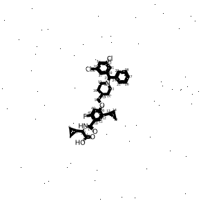 O=C(N[C@H](C(=O)O)C1CC1)c1cc(C2CC2)c(OCC2CCN(C(c3ccccc3)c3cc(Cl)cc(Cl)c3)CC2)cc1F